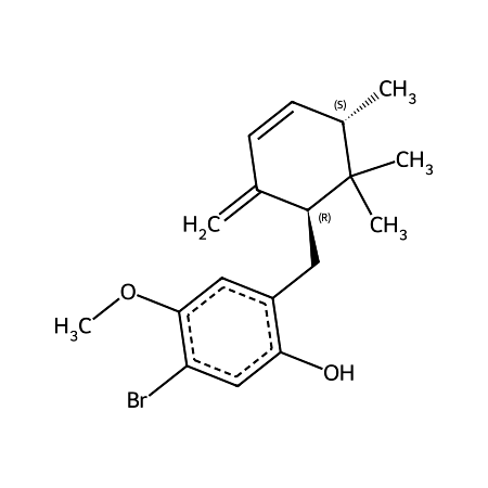 C=C1C=C[C@H](C)C(C)(C)[C@H]1Cc1cc(OC)c(Br)cc1O